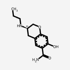 CCCN[C@H]1COc2cc(O)c(C(N)=O)cc2C1